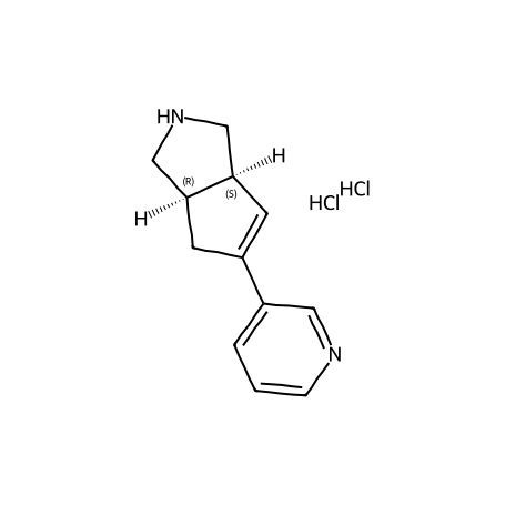 C1=C(c2cccnc2)C[C@H]2CNC[C@@H]12.Cl.Cl